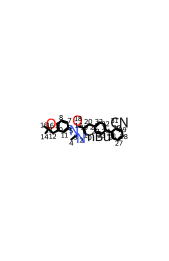 CCCCc1nc(C)n(-c2ccc3c(c2)CC(C)(C)O3)c(=O)c1Cc1ccc(-c2ccccc2C#N)cc1